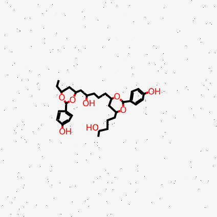 CCC1CC(CC(O)CCCC2CC(CCCC(C)O)OC(c3ccc(O)cc3)O2)OC(c2ccc(O)cc2)O1